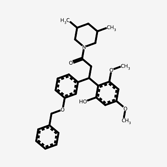 COc1cc(O)c(C(CC(=O)N2CC(C)CC(C)C2)c2cccc(OCc3ccccc3)c2)c(OC)c1